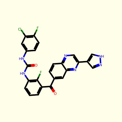 O=C(Nc1ccc(F)c(Cl)c1)Nc1cccc(C(=O)c2ccc3ncc(-c4cn[nH]c4)nc3c2)c1F